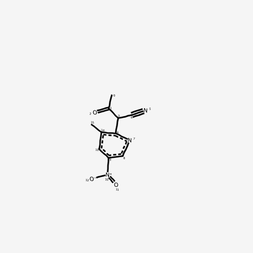 CC(=O)C(C#N)c1ncc([N+](=O)[O-])cc1C